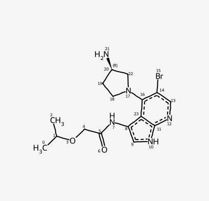 CC(C)OCC(=O)Nc1c[nH]c2ncc(Br)c(N3CC[C@@H](N)C3)c12